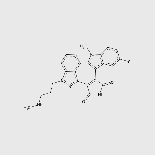 CNCCCn1nc(C2=C(c3cn(C)c4ccc(Cl)cc34)C(=O)NC2=O)c2ccccc21